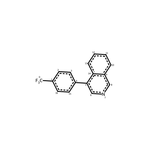 FC(F)(F)c1ccc(-c2cncc3ccccc23)cc1